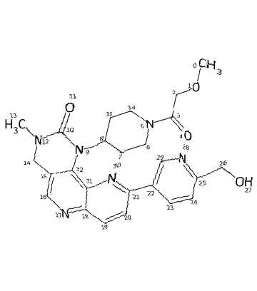 COCC(=O)N1CCC(N2C(=O)N(C)Cc3cnc4ccc(-c5ccc(CO)nc5)nc4c32)CC1